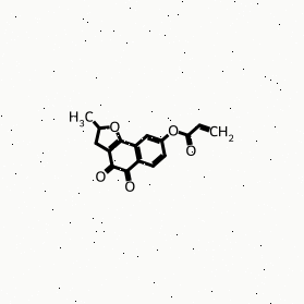 C=CC(=O)Oc1ccc2c(c1)C1=C(CC(C)O1)C(=O)C2=O